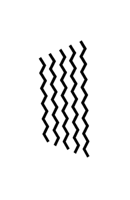 CCCCCCCCCCCC.CCCCCCCCCCCCC.CCCCCCCCCCCCCC.CCCCCCCCCCCCCCC.CCCCCCCCCCCCCCCC